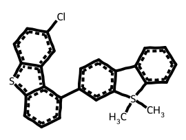 CS1(C)c2ccccc2-c2ccc(-c3cccc4sc5ccc(Cl)cc5c34)cc21